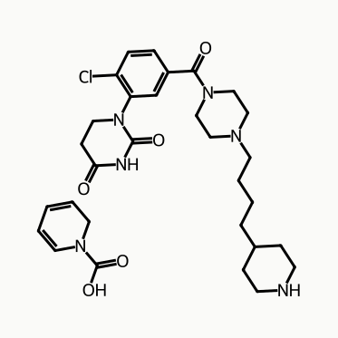 O=C(O)N1C=CC=CC1.O=C1CCN(c2cc(C(=O)N3CCN(CCCCC4CCNCC4)CC3)ccc2Cl)C(=O)N1